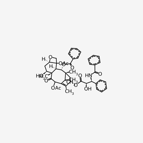 CC(=O)OC1C(=O)[C@@]2(C)[C@H]([C@H](OC(=O)c3ccccc3)[C@]3(C)C[C@H](OC(=O)[C@H](O)[C@@H](NC(=O)c4ccccc4)c4ccccc4)C(C)=C1C3(C)C)C1(OC(C)=O)CO[C@@H]1C[C@@H]2O